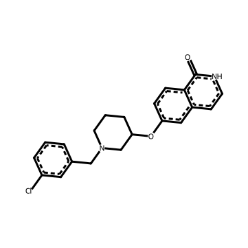 O=c1[nH]ccc2cc(OC3CCCN(Cc4cccc(Cl)c4)C3)ccc12